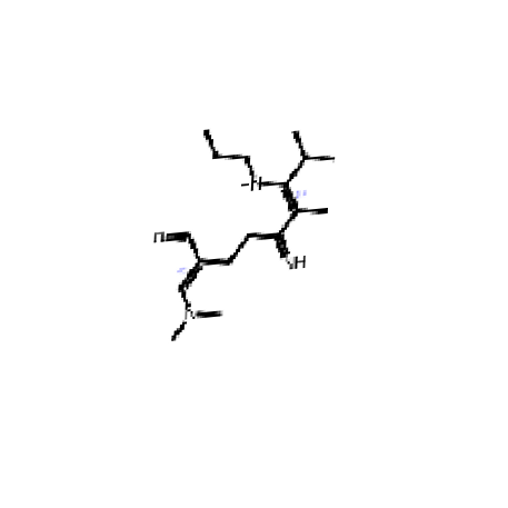 CCCN/C(=C(/C)C(=N)CC/C(C=O)=C\N(C)C)C(C)C